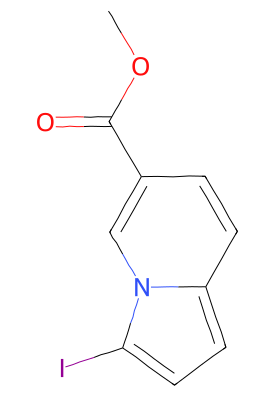 COC(=O)c1ccc2ccc(I)n2c1